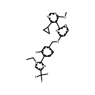 CCn1cc(C(F)(F)F)nc1-c1ccc(COc2ccnc(-c3c(OC)ncnc3C3CC3)n2)cc1F